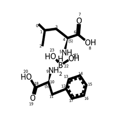 CC(C)C[C@H](N)C(=O)O.N[C@@H](Cc1ccccc1)C(=O)O.OBO